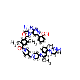 [2H]C1C=CN(c2cccc3c2cc(C)n3C2CCN(CC3CCN(C(=O)c4cc(C)c(C5CN(c6cc(-c7ccccc7O)nnc6N)CCO5)cc4C)CC3)CC2)[C@H]([2H])N1